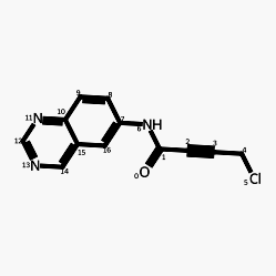 O=C(C#CCCl)Nc1ccc2ncncc2c1